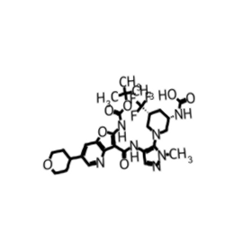 Cn1ncc(NC(=O)c2c(NC(=O)OC(C)(C)C)oc3cc(C4CCOCC4)cnc23)c1N1C[C@@H](NC(=O)O)C[C@@H](C(F)(F)F)C1